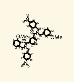 COc1cccc(CN(Cc2ccc(N(C)C)cc2)C(=O)c2cncc(C(=O)N(Cc3ccc(N(C)C)cc3)Cc3cccc(OC)c3)c2)c1